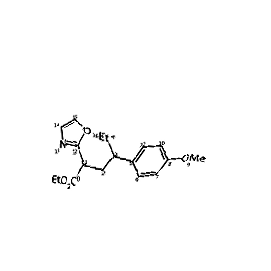 CCOC(=O)C(CC(CC)c1ccc(OC)cc1)c1ncco1